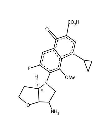 COc1c(N2CC(N)C3OCC[C@H]32)c(F)cc2c(=O)c(C(=O)O)cn(C3CC3)c12